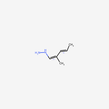 C/C=C/C(C)=C\NN